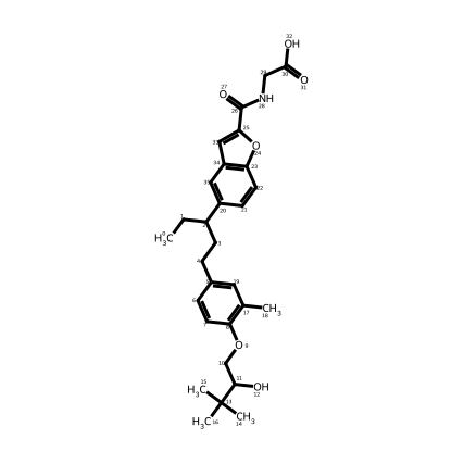 CCC(CCc1ccc(OCC(O)C(C)(C)C)c(C)c1)c1ccc2oc(C(=O)NCC(=O)O)cc2c1